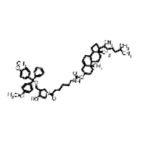 COc1ccc(C(OCC2CN(C(=O)CCCCCNC(=O)OC3CCC4(C)C(=CCC5C4CCC4(C)C(C(C)CCCC(C)C)CCC54)C3)CC2O)(c2ccccc2)c2ccc(OC)cc2)cc1